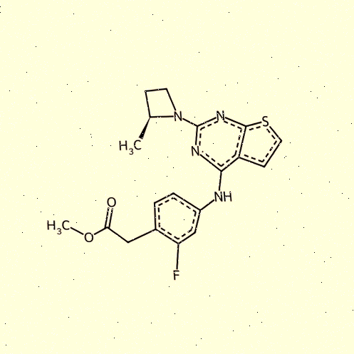 COC(=O)Cc1ccc(Nc2nc(N3CC[C@@H]3C)nc3sccc23)cc1F